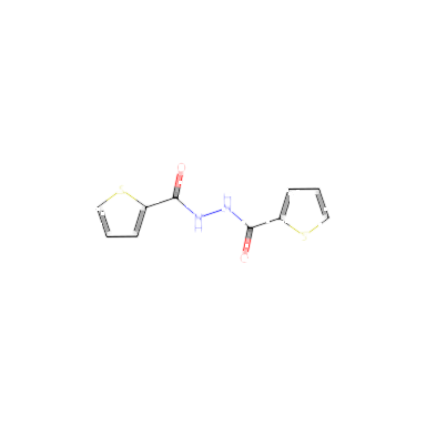 O=C(NNC(=O)c1cccs1)c1cccs1